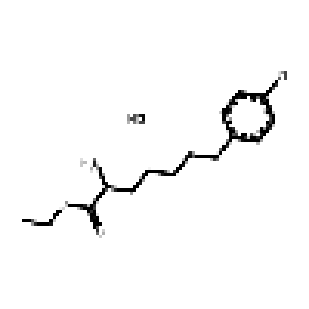 CCOC(=O)C(N)CCCCCc1ccc(Cl)cc1.Cl